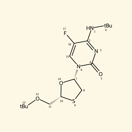 CC(C)(C)Nc1nc(=O)n([C@@H]2CS[C@H](COC(C)(C)C)O2)cc1F